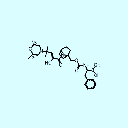 C[C@@H]1CN(C(C)(C)C=C(C#N)C(=O)N2C3CCC2(COC(=O)NC(Cc2ccccc2)B(O)O)CC3)C[C@@H](C)O1